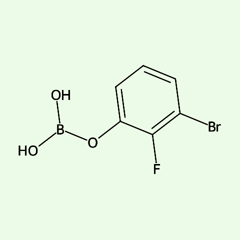 OB(O)Oc1cccc(Br)c1F